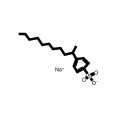 CCCCCCCCCC(C)c1ccc(S(=O)(=O)[O-])cc1.[Na+]